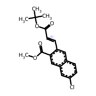 COC(=O)c1cc2cc(Cl)ccc2cc1/C=C/C(=O)OC(C)(C)C